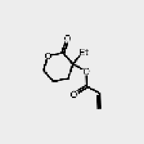 C=CC(=O)OC1(CC)CCCOC1=O